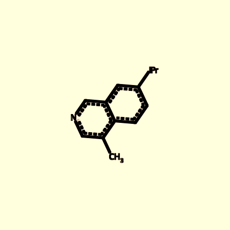 Cc1cncc2cc(C(C)C)ccc12